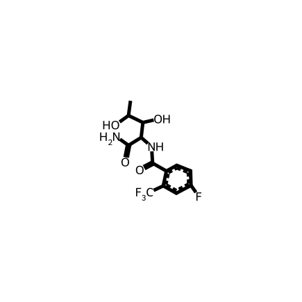 CC(O)C(O)C(NC(=O)c1ccc(F)cc1C(F)(F)F)C(N)=O